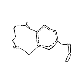 O=Nc1ccc2c(c1)CNCCS2